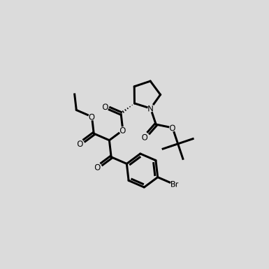 CCOC(=O)C(OC(=O)[C@@H]1CCCN1C(=O)OC(C)(C)C)C(=O)c1ccc(Br)cc1